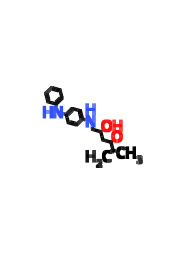 C=C(C)C(=O)CC(O)CNc1ccc(Nc2ccccc2)cc1